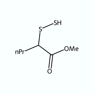 CCCC(SS)C(=O)OC